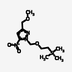 COCc1cc([N+](=O)[O-])n(COCC[Si](C)(C)C)n1